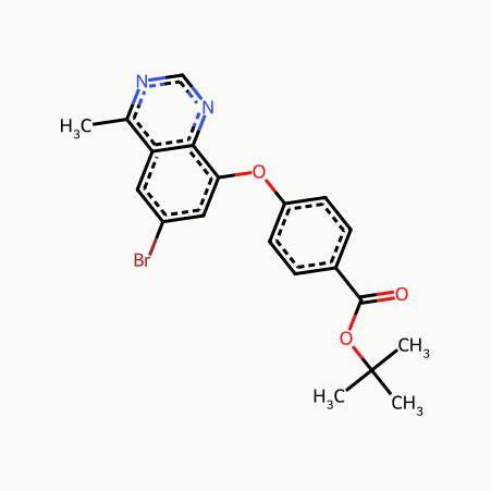 Cc1ncnc2c(Oc3ccc(C(=O)OC(C)(C)C)cc3)cc(Br)cc12